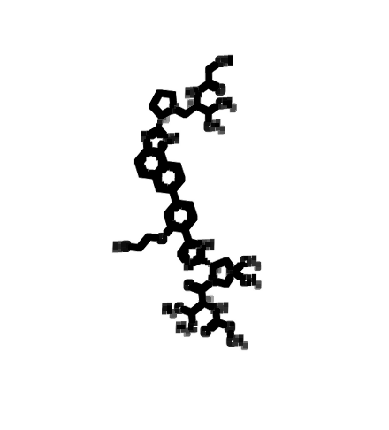 COC(=O)N[C@H](C(=O)N1C[Si](C)(C)C[C@H]1c1ncc(-c2ccc(-c3ccc4c(ccc5nc([C@@H]6CCCN6C[C@@H](NC(=O)CO)C(C)C)[nH]c54)c3)cc2OCCO)[nH]1)C(C)C